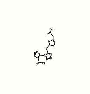 O=C(O)Cc1csc(Sc2nnnn2-c2sccc2C(=O)O)n1